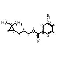 CC1(C)CC1CCCOC(=O)c1[c]ccc(Cl)c1